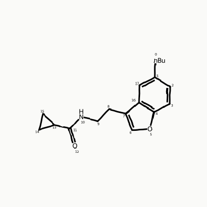 CCCCc1ccc2occ(CCNC(=O)C3CC3)c2c1